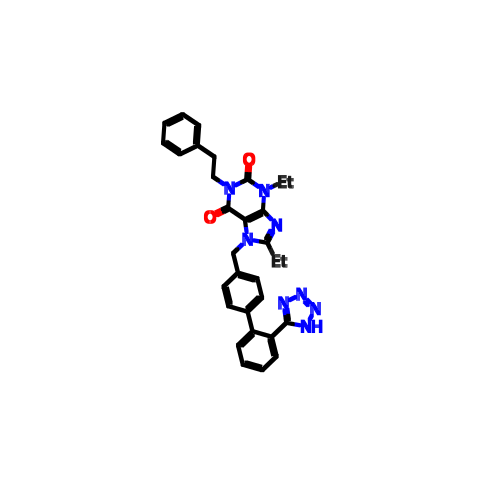 CCc1nc2c(c(=O)n(CCc3ccccc3)c(=O)n2CC)n1Cc1ccc(-c2ccccc2-c2nnn[nH]2)cc1